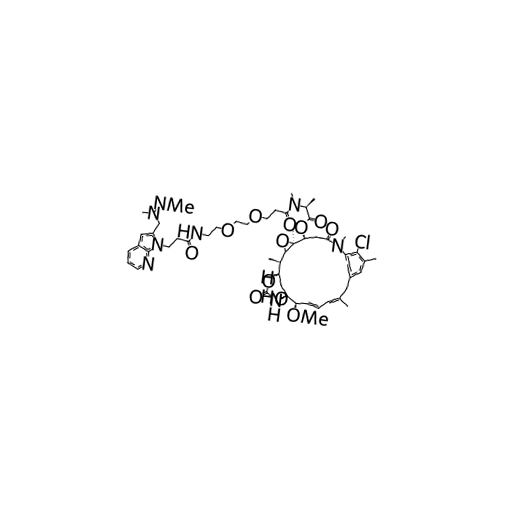 CNN(C)Cc1cc2cccnc2n1CCC(=O)NCCOCCOCCC(=O)N(C)[C@@H](C)C(=O)O[C@H]1CC(=O)N(C)c2cc(cc(C)c2Cl)C/C(C)=C/C=C/[C@@H](OC)[C@@]2(O)C[C@H](OC(=O)N2)[C@@H](C)C2O[C@]21C